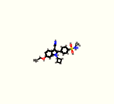 CCOc1ccc2c(C#N)c(-c3ccc(S(=O)(=O)NC)cc3)n(C3CCC3)c2c1